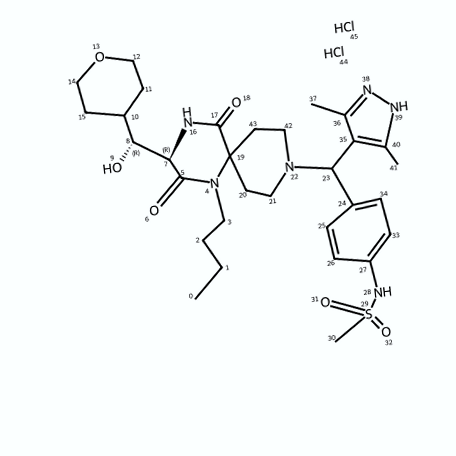 CCCCN1C(=O)[C@@H]([C@H](O)C2CCOCC2)NC(=O)C12CCN(C(c1ccc(NS(C)(=O)=O)cc1)c1c(C)n[nH]c1C)CC2.Cl.Cl